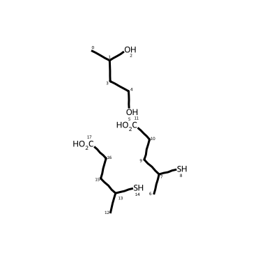 CC(O)CCO.CC(S)CCC(=O)O.CC(S)CCC(=O)O